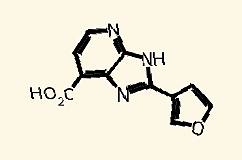 O=C(O)c1ccnc2[nH]c(-c3ccoc3)nc12